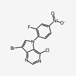 O=[N+]([O-])c1ccc(-n2cc(Br)c3ncnc(Cl)c32)c(F)c1